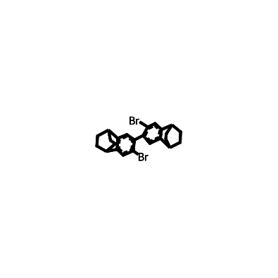 Brc1cc2c(cc1-c1cc3c(cc1Br)C1CCC3CC1)C1CCC2CC1